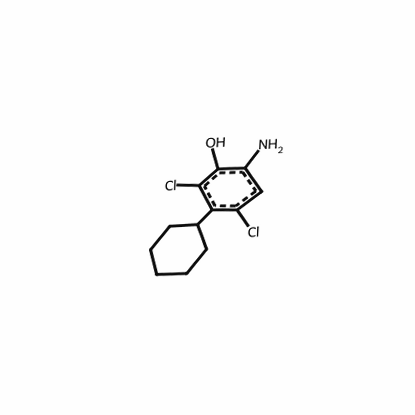 Nc1cc(Cl)c(C2CCCCC2)c(Cl)c1O